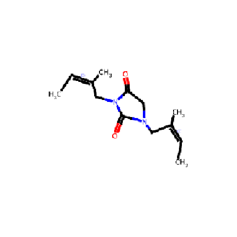 C/C=C(/C)CN1CC(=O)N(C/C(C)=C\C)C1=O